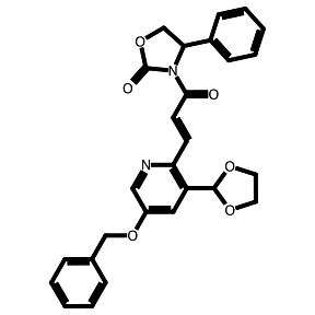 O=C(C=Cc1ncc(OCc2ccccc2)cc1C1OCCO1)N1C(=O)OCC1c1ccccc1